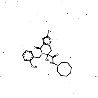 COc1ccccc1CN1C(=O)c2cc(C(C)C)nn2CC1(C)C(=O)NC1CCCCCCC1